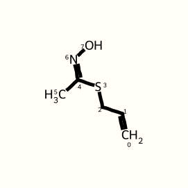 C=CCS/C(C)=N\O